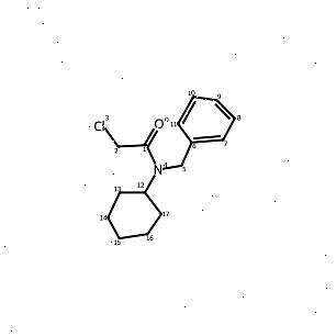 O=C(CCl)N(Cc1ccccc1)C1CCCCC1